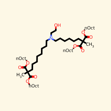 CCCCCCCCOC(=O)C(C)(CCCCCCCCN(CCO)CCCCCCC(C)(C(=O)OCCCCCCCC)C(=O)OCCCCCCCC)C(=O)OCCCCCCCC